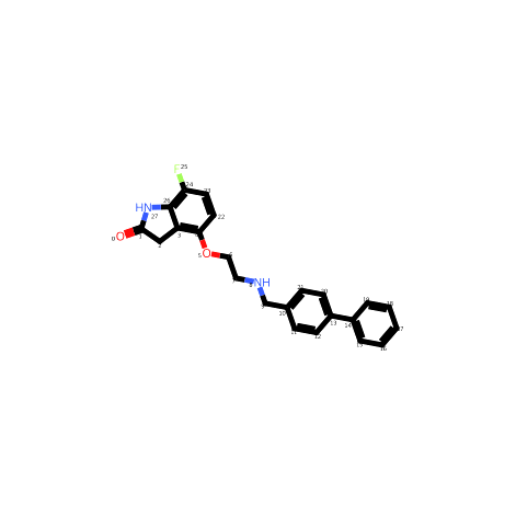 O=C1Cc2c(OCCNCc3ccc(-c4ccccc4)cc3)ccc(F)c2N1